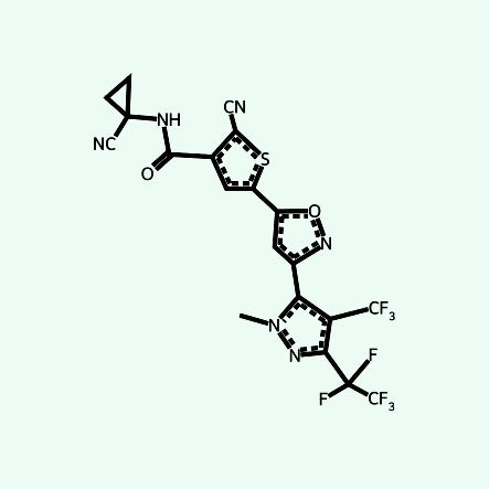 Cn1nc(C(F)(F)C(F)(F)F)c(C(F)(F)F)c1-c1cc(-c2cc(C(=O)NC3(C#N)CC3)c(C#N)s2)on1